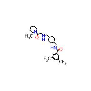 CC1CCCCN1C(=O)CNCC1CCC(CNC(=O)c2cc(C(F)(F)F)cc(C(F)(F)F)c2)CC1